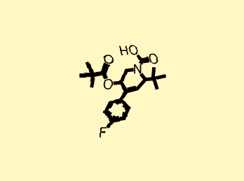 CC(C)(C)C(=O)OC1CN(C(=O)O)C(C(C)(C)C)C=C1c1ccc(F)cc1